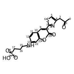 CC(=O)Cc1csc(-c2cc3ccc(NCCCS(=O)(=O)O)cc3oc2=O)n1